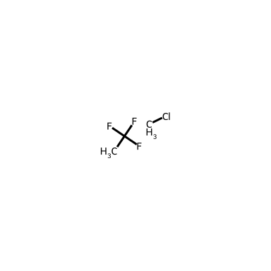 CC(F)(F)F.CCl